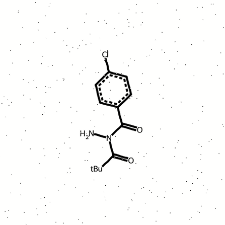 CC(C)(C)C(=O)N(N)C(=O)c1ccc(Cl)cc1